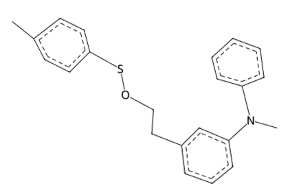 Cc1ccc(SOCCc2cccc(N(C)c3ccccc3)c2)cc1